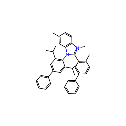 Cc1ccc2c(c1)n(-c1c(C(C)C)cc(-c3ccccc3)cc1C(C)C)c(-c1cc(-c3ccccc3)ccc1C)[n+]2C